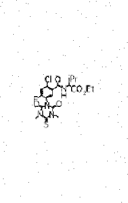 CCOC(=O)[C@@H](NC(=O)c1cc(-n2c(=O)n(C)c(=S)n(C)c2=O)c(F)cc1Cl)C(C)C